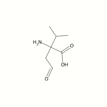 CC(C)C(N)(CC=O)C(=O)O